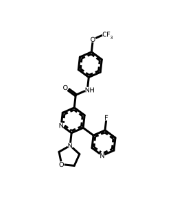 O=C(Nc1ccc(OC(F)(F)F)cc1)c1cnc(N2CCOC2)c(-c2cnccc2F)c1